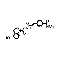 CNC(=O)c1ccc(C=CC(=O)NCC(=O)N2CCCc3c(CO)cccc32)cc1